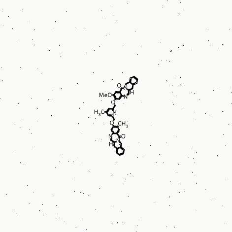 COc1cc2c(cc1OCc1cc(C)cc(COc3cc4c(cc3C)C(=O)N3Cc5ccccc5C[C@H]3C=N4)n1)N=C[C@@H]1Cc3ccccc3CN1C2=O